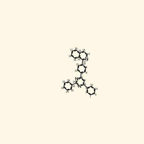 c1ccc(-c2cc(-c3ccc(-c4nccc5ccccc45)cc3)nc(-c3ccccc3)n2)cc1